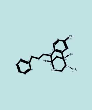 C[C@@H]1CN[C@H]2C[C@@H]1c1cc(O)ccc1C2CCCc1ccccc1